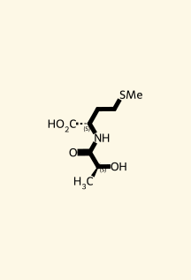 CSCC[C@H](NC(=O)[C@H](C)O)C(=O)O